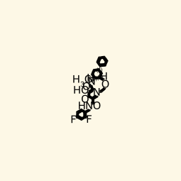 CN1C(=O)c2c(O)c(=O)c(C(=O)NCc3ccc(F)cc3F)cn2CCOC[C@@H]2C[C@@H](c3ccccc3)CC[C@@H]21